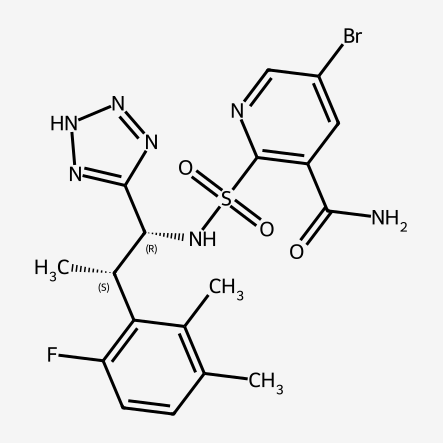 Cc1ccc(F)c([C@H](C)[C@@H](NS(=O)(=O)c2ncc(Br)cc2C(N)=O)c2nn[nH]n2)c1C